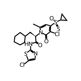 Cc1cc(S(=O)(=S)C2CC2)c(Cl)c(=O)n1[C@H](CC1CCCCC1)C(=O)Nc1ncc(Cl)s1